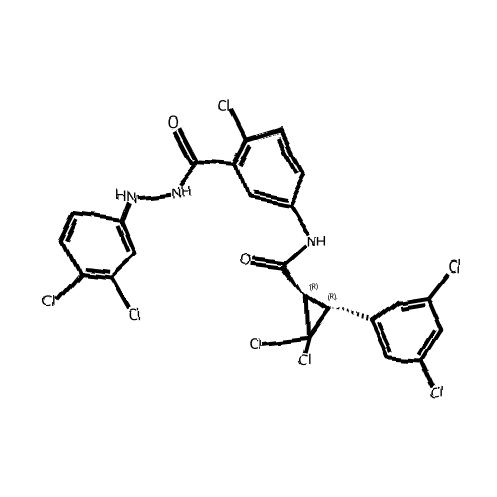 O=C(NNc1ccc(Cl)c(Cl)c1)c1cc(NC(=O)[C@H]2[C@H](c3cc(Cl)cc(Cl)c3)C2(Cl)Cl)ccc1Cl